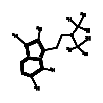 [2H]c1ccc2c(c1[2H])c(CCN(C([2H])([2H])[2H])C([2H])([2H])[2H])c([2H])n2[2H]